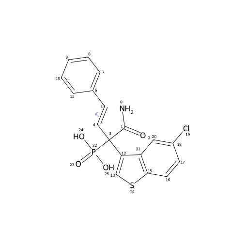 NC(=O)C(/C=C/c1ccccc1)(c1csc2ccc(Cl)cc12)P(=O)(O)O